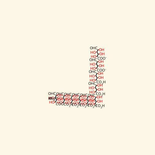 O=C[C@H](O)[C@@H](O)[C@@H](O)[C@H](O)C(=O)O.O=C[C@H](O)[C@@H](O)[C@@H](O)[C@H](O)C(=O)O.O=C[C@H](O)[C@@H](O)[C@@H](O)[C@H](O)C(=O)O.O=C[C@H](O)[C@@H](O)[C@@H](O)[C@H](O)C(=O)O.O=C[C@H](O)[C@@H](O)[C@@H](O)[C@H](O)C(=O)O.O=C[C@H](O)[C@@H](O)[C@@H](O)[C@H](O)C(=O)O.O=C[C@H](O)[C@@H](O)[C@@H](O)[C@H](O)C(=O)O.O=C[C@H](O)[C@@H](O)[C@@H](O)[C@H](O)C(=O)[O-].O=C[C@H](O)[C@@H](O)[C@@H](O)[C@H](O)C(=O)[O-].O=C[C@H](O)[C@@H](O)[C@@H](O)[C@H](O)C(=O)[O-].[K+].[Mg+2]